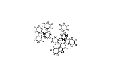 c1ccc(-c2nc(-c3ccc(-c4cccc5oc6ccccc6c45)c(-c4nc(-c5ccccc5)nc(-c5ccccc5)n4)c3)nc(-c3ccccc3-c3ccccc3)n2)cc1